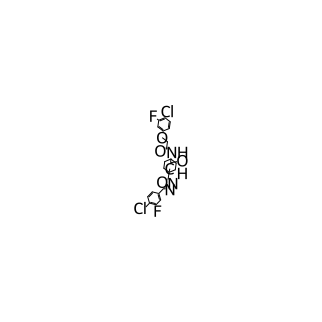 O=C(COc1ccc(Cl)c(F)c1)NC12CCC(c3nnc(-c4ccc(Cl)c(F)c4)o3)(CC1)CC2O